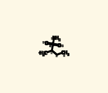 [CH2]C(CC)S(N)(=O)=O